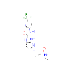 O=C(Nc1ccc(C(F)(F)F)nc1)c1nc2ccc(N3CCC[C@@H](C(=O)N4CCCC4)C3)nc2[nH]1